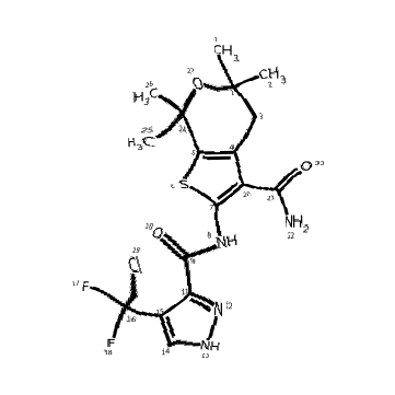 CC1(C)Cc2c(sc(NC(=O)c3n[nH]cc3C(F)(F)Cl)c2C(N)=O)C(C)(C)O1